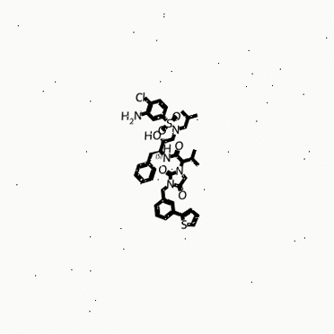 CC(C)CN(C[C@@H](O)[C@H](Cc1ccccc1)NC(=O)C(C(C)C)N1CC(=O)N(Cc2cccc(-c3cccs3)c2)C1=O)S(=O)(=O)c1ccc(Cl)c(N)c1